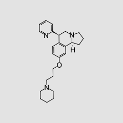 c1ccc([C@H]2CN3CCC[C@H]3c3cc(OCCCN4CCCCC4)ccc32)nc1